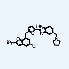 CC(C)c1cc2cc(Cl)cc(Cc3ccc(-c4nc5cc(CN6CCCC6)ccc5[nH]4)o3)c2o1